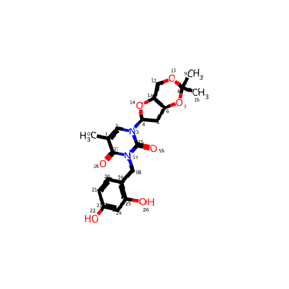 Cc1cn(C2CC3OC(C)(C)OCC3O2)c(=O)n(Cc2ccc(O)cc2O)c1=O